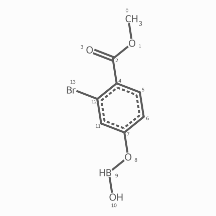 COC(=O)c1ccc(OBO)cc1Br